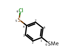 CSc1ccc(SCl)cc1